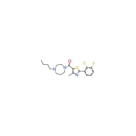 CCCCN1CCCN(C(=O)c2sc(-c3cccc(F)c3F)nc2C)CC1